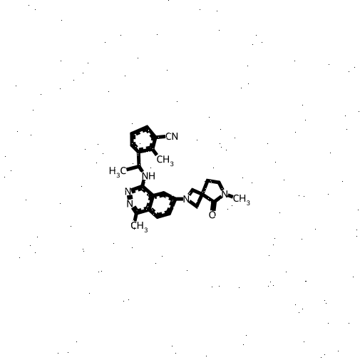 Cc1c(C#N)cccc1C(C)Nc1nnc(C)c2ccc(N3CC4(CCN(C)C4=O)C3)cc12